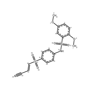 COc1ccc(OC)c(S(=O)(=O)Nc2ccc(S(=O)(=O)C=CC#N)cc2)c1